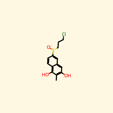 Cc1c(O)cc2cc([S+]([O-])CCCCl)ccc2c1O